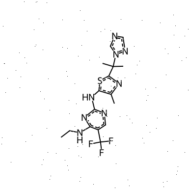 CCNc1nc(Nc2sc(C(C)(C)n3cncn3)nc2C)ncc1C(F)(F)F